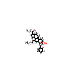 C=CCC1C=C2CC(O)(OCc3ccc(F)cc3)CCC2(C)C2CCC3(C)C(C(C)=O)CCC3C12